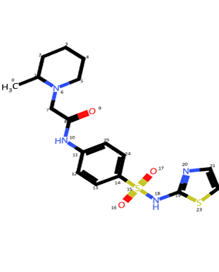 CC1CCCCN1CC(=O)Nc1ccc(S(=O)(=O)Nc2nccs2)cc1